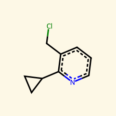 ClCc1cccnc1C1CC1